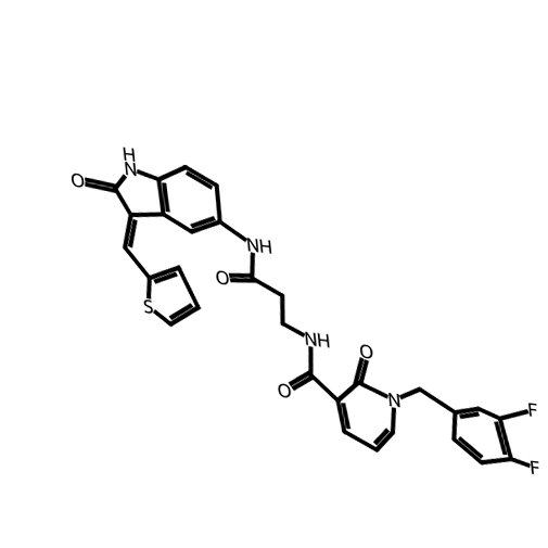 O=C(CCNC(=O)c1cccn(Cc2ccc(F)c(F)c2)c1=O)Nc1ccc2c(c1)/C(=C\c1cccs1)C(=O)N2